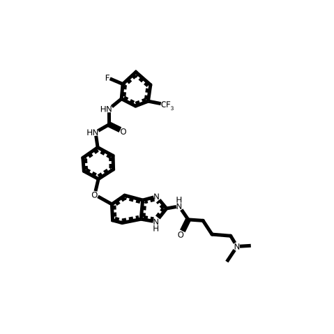 CN(C)CCCC(=O)Nc1nc2cc(Oc3ccc(NC(=O)Nc4cc(C(F)(F)F)ccc4F)cc3)ccc2[nH]1